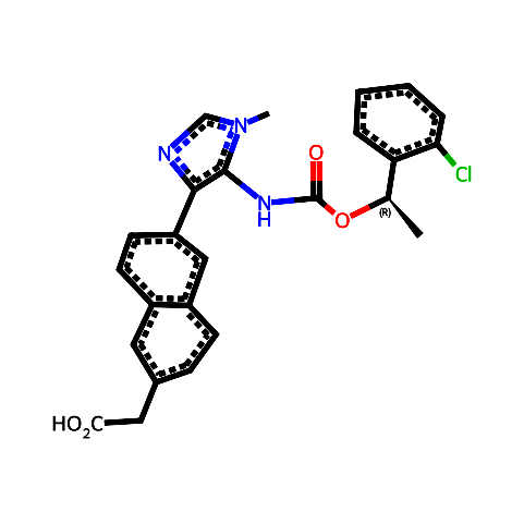 C[C@@H](OC(=O)Nc1c(-c2ccc3cc(CC(=O)O)ccc3c2)ncn1C)c1ccccc1Cl